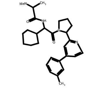 CNC(C)C(=O)NC(C(=O)N1CCCC1c1cc(-c2cccc(C)c2)ccn1)C1CCCCC1